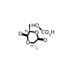 C[C@@H]1OC(=O)[C@@H](C)OC1=O.O=C(O)O